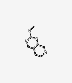 C=Nc1ncc2ccncc2n1